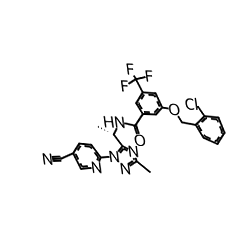 Cc1nc([C@H](C)NC(=O)c2cc(OCc3ccccc3Cl)cc(C(F)(F)F)c2)n(-c2ccc(C#N)cn2)n1